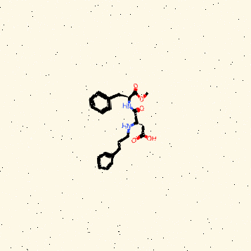 COC(=O)[C@H](Cc1ccccc1)NC(=O)[C@H](CC(=O)O)NCCCc1ccccc1